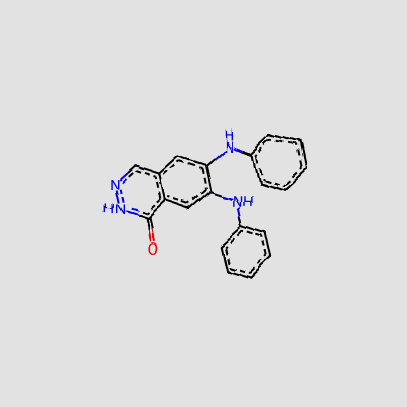 O=c1[nH]ncc2cc(Nc3ccccc3)c(Nc3ccccc3)cc12